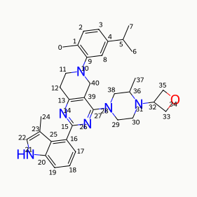 Cc1ccc(C(C)C)cc1N1CCc2nc(-c3cccc4[nH]cc(C)c34)nc(N3CCN(C4COC4)C(C)C3)c2C1